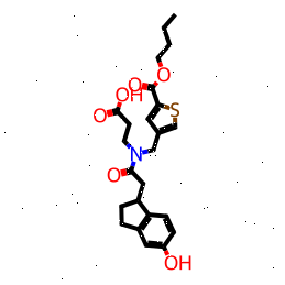 CCCCOC(=O)c1cc(CN(CCC(=O)O)C(=O)CC2CCc3cc(O)ccc32)cs1